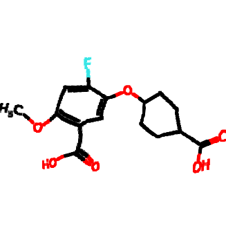 COc1cc(F)c(OC2CCC(C(=O)O)CC2)cc1C(=O)O